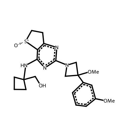 COc1cccc(C2(OC)CN(c3nc4c(c(NC5(CO)CCC5)n3)[S@+]([O-])CC4)C2)c1